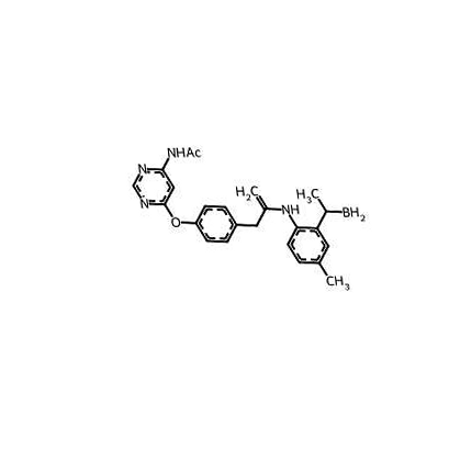 BC(C)c1cc(C)ccc1NC(=C)Cc1ccc(Oc2cc(NC(C)=O)ncn2)cc1